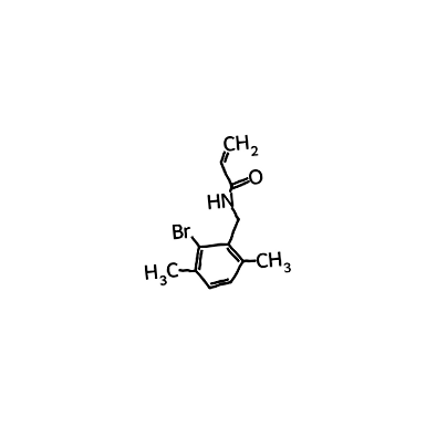 C=CC(=O)NCc1c(C)ccc(C)c1Br